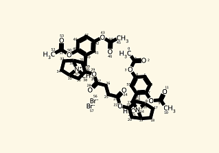 CC(=O)Oc1ccc(OC(C)=O)c(C[N+]2(C)C3CCC2CC(OC(=O)CCC(=O)OC2CC4CCC(C2)[N+]4(C)Cc2cc(OC(C)=O)ccc2OC(C)=O)C3)c1.[Br-].[Br-]